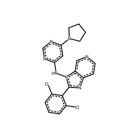 Clc1cccc(Cl)c1-c1nc2ccncc2n1Nc1cc(N2CCCC2)ncn1